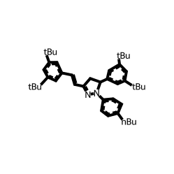 CCCCc1ccc(N2N=C(C=Cc3cc(C(C)(C)C)cc(C(C)(C)C)c3)CC2c2cc(C(C)(C)C)cc(C(C)(C)C)c2)cc1